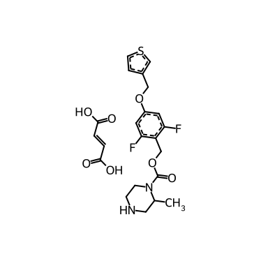 CC1CNCCN1C(=O)OCc1c(F)cc(OCc2ccsc2)cc1F.O=C(O)C=CC(=O)O